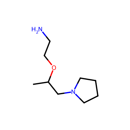 CC(CN1CCCC1)OCCN